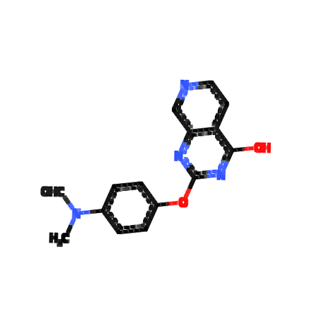 CN(C=O)c1ccc(Oc2nc(O)c3ccncc3n2)cc1